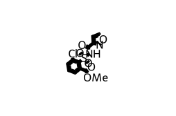 COC(=O)c1cccc(Cl)c1S(=O)(=O)NC(=O)c1ccon1